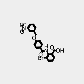 O=C(Nc1c(Br)cccc1C(=O)O)c1ccc(OCc2cccc([N+](=O)[O-])c2)cc1